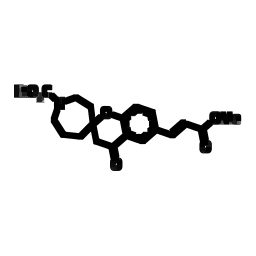 CCOC(=O)N1CCCC2(CC1)CC(=O)c1cc(/C=C/C(=O)OC)ccc1O2